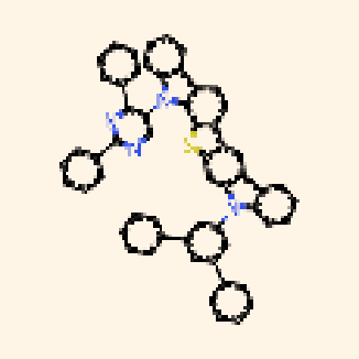 c1ccc(-c2cc(-c3ccccc3)cc(-n3c4ccccc4c4cc5c(cc43)sc3c5ccc4c5ccccc5n(-c5cnc(-c6ccccc6)nc5-c5ccccc5)c43)c2)cc1